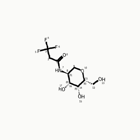 O=C(CC(F)(F)F)N[C@H]1CO[C@H](CO)[C@H](O)[C@@H]1O